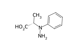 C[C@@H](C(=O)O)N(N)c1ccccc1